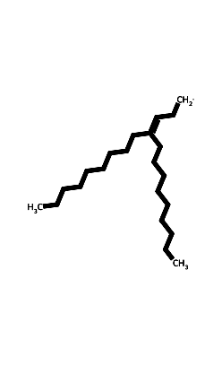 [CH2]CC=C(CCCCCCCCC)CCCCCCCCC